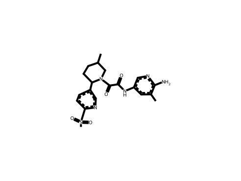 Cc1cc(NC(=O)C(=O)N2CC(C)CCC2c2ccc(S(C)(=O)=O)nc2)cnc1N